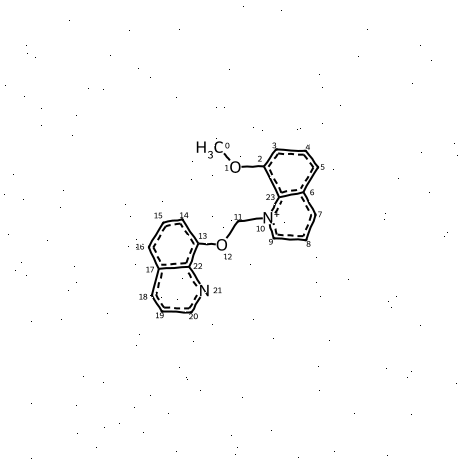 COc1cccc2ccc[n+](COc3cccc4cccnc34)c12